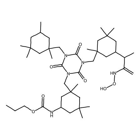 C=C(NOO)C(C)C1CC(C)(C)CC(C)(Cn2c(=O)n(CC3(C)CC(C)CC(C)(C)C3)c(=O)n(CC3(C)CC(NC(=O)OCCC)CC(C)(C)C3)c2=O)C1